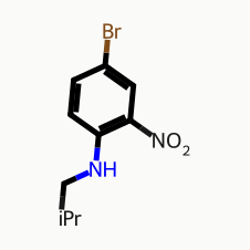 CC(C)CNc1ccc(Br)cc1[N+](=O)[O-]